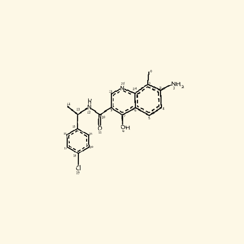 Cc1c(N)ccc2c(O)c(C(=O)NC(C)c3ccc(Cl)cc3)cnc12